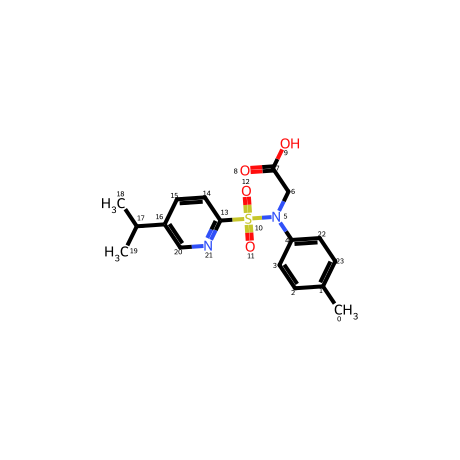 Cc1ccc(N(CC(=O)O)S(=O)(=O)c2ccc(C(C)C)cn2)cc1